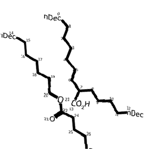 CCCCCCCCCCCCCCCCC(CCCCCCCCCCCCCC)C(=O)O.CCCCCCCCCCCCCCCCOC(=O)CCCCCCCCCCCCC